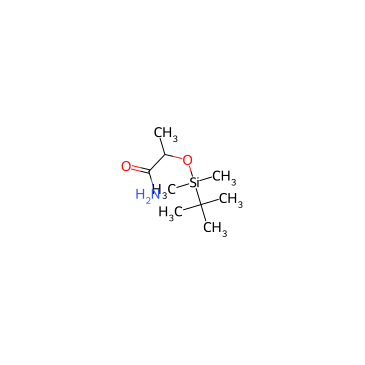 CC(O[Si](C)(C)C(C)(C)C)C(N)=O